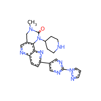 CN1Cc2cnc3ccc(-c4cnc(-n5cccn5)nc4)nc3c2N(C2CCNCC2)C1=O